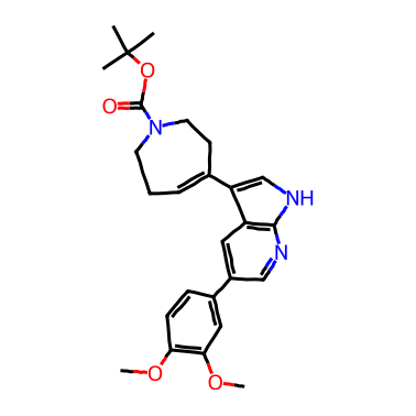 COc1ccc(-c2cnc3[nH]cc(C4=CCCN(C(=O)OC(C)(C)C)CC4)c3c2)cc1OC